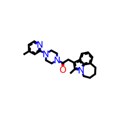 Cc1ccnc(N2CCN(C(=O)Cc3c(C)n4c5c(cccc35)CCCC4)CC2)c1